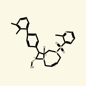 Cc1cccc(-c2ccc(C3[C@@H](CO)N4C/C=C\CN(S(=O)(=O)c5cccnc5C)C[C@@H]34)cc2)c1C